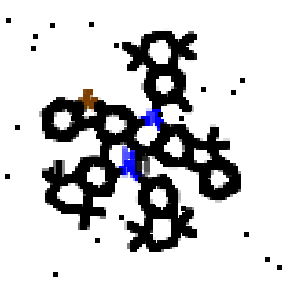 Cc1cc2c(cc1N1c3cc4c(cc3Bc3c1cc1sc5ccccc5c1c3-c1cc3c(cc1Nc1ccc5c(c1)C(C)(C)CCC5(C)C)C(C)(C)CCC3(C)C)-c1ccccc1C4(C)C)C(C)(C)CCC2(C)C